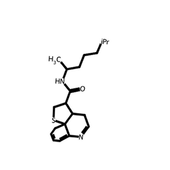 CC(C)CCCC(C)NC(=O)C1CSC23CC=CC=C2N=CCC13